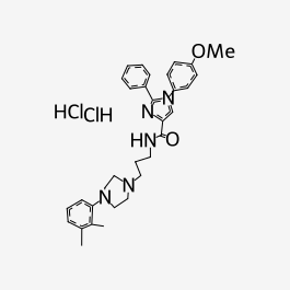 COc1ccc(-n2cc(C(=O)NCCCN3CCN(c4cccc(C)c4C)CC3)nc2-c2ccccc2)cc1.Cl.Cl